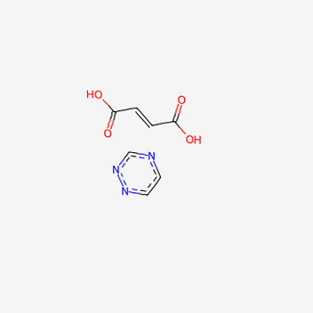 O=C(O)/C=C/C(=O)O.c1cnncn1